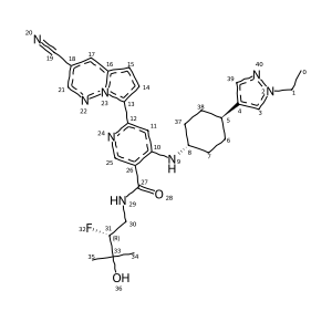 CCn1cc([C@H]2CC[C@H](Nc3cc(-c4ccc5cc(C#N)cnn45)ncc3C(=O)NC[C@@H](F)C(C)(C)O)CC2)cn1